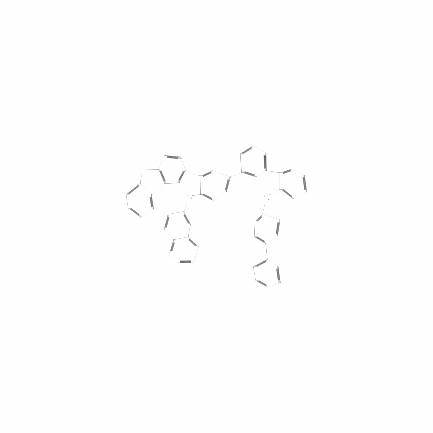 c1ccc(-c2ccc(Nc3ccccc3-c3cccc(-c4ccc5c(c4)c4ccc6oc7ccccc7c6c4n5-c4ccc5ccccc5c4)c3)cc2)cc1